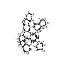 C1=CC2c3ccccc3OC2C=C1c1ccc2oc3ccccc3c2c1-c1nc(-c2ccccc2)nc(-c2ccc3ccccc3c2)n1